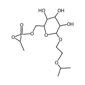 CC(C)OCCOC1OC(COP2(=O)OC2C)C(O)C(O)C1O